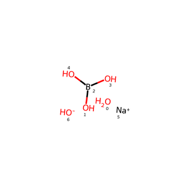 O.OB(O)O.[Na+].[OH-]